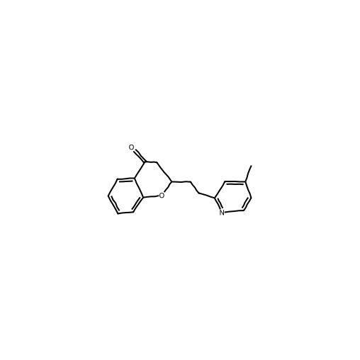 Cc1ccnc(CCC2CC(=O)c3ccccc3O2)c1